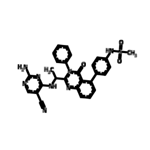 CC(Nc1nc(N)ncc1C#N)c1nc2cccc(-c3ccc(NS(C)(=O)=O)cc3)c2c(=O)n1-c1ccccc1